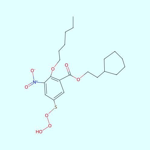 CCCCCCOc1c(C(=O)OCCC2CCCCC2)cc(SOOO)cc1[N+](=O)[O-]